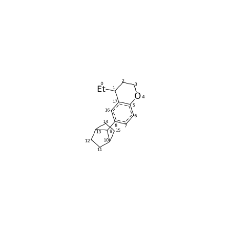 CCC1CCOc2ccc(C3C4CCC3CC4)cc21